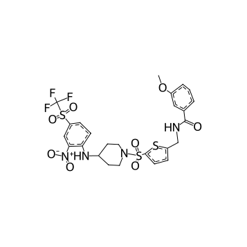 COc1cccc(C(=O)NCc2ccc(S(=O)(=O)N3CCC(Nc4ccc(S(=O)(=O)C(F)(F)F)cc4[N+](=O)[O-])CC3)s2)c1